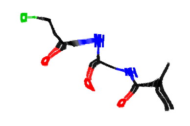 C=C(C)C(=O)NC(=O)NC(=O)CCl